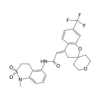 CN1c2cccc(NC(=O)C=C3CC4(CCOCC4)Oc4cc(C(F)(F)F)ccc43)c2CCS1(=O)=O